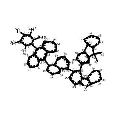 [2H]c1c([2H])c([2H])c(-c2c3ccccc3c(-c3cccc4c(-c5ccc6oc7ccccc7c6c5-c5ccc6c(c5)C(C)(C)c5ccccc5-6)cccc34)c3ccccc23)c([2H])c1[2H]